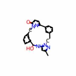 Cc1cc2n(n1)CCc1cccc(c1)-c1ccc(=O)n(n1)Cc1cccc(c1)C(O)N2